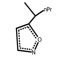 CCCC(C)c1ccno1